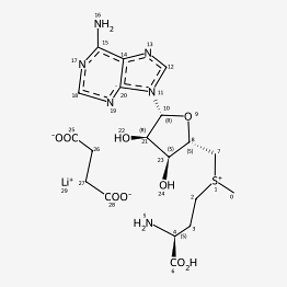 C[S+](CC[C@H](N)C(=O)O)C[C@H]1O[C@@H](n2cnc3c(N)ncnc32)[C@H](O)[C@@H]1O.O=C([O-])CCC(=O)[O-].[Li+]